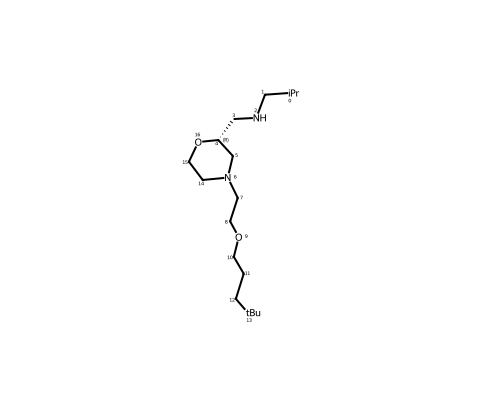 CC(C)CNC[C@@H]1CN(CCOCCCC(C)(C)C)CCO1